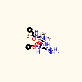 CC(C)C[C@H](NC(=O)[C@H](CCCNC(=N)N)NC(=O)OCc1ccccc1)C(=O)N[C@H](CNC(=O)/C(Br)=C/c1ccccc1)C(C)C